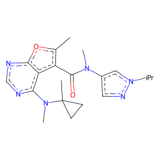 Cc1oc2ncnc(N(C)C3(C)CC3)c2c1C(=O)N(C)c1cnn(C(C)C)c1